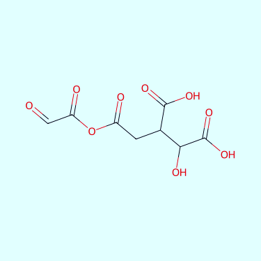 O=CC(=O)OC(=O)CC(C(=O)O)C(O)C(=O)O